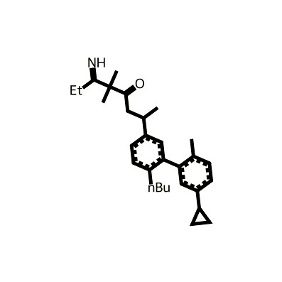 CCCCc1ccc(C(C)CC(=O)C(C)(C)C(=N)CC)cc1-c1cc(C2CC2)ccc1C